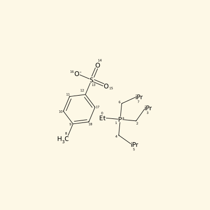 CC[P+](CC(C)C)(CC(C)C)CC(C)C.Cc1ccc(S(=O)(=O)[O-])cc1